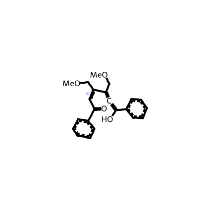 COCC(=C=C(O)c1ccccc1)/C(=C\C(=O)c1ccccc1)COC